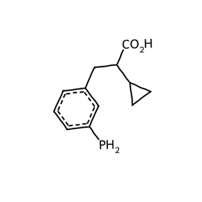 O=C(O)C(Cc1cccc(P)c1)C1CC1